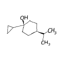 CC(C)[C@H]1CC[C@](O)(C2CC2)CC1